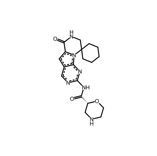 O=C1NCC2(CCCCC2)n2c1cc1cnc(NC(=O)[C@H]3CNCCO3)nc12